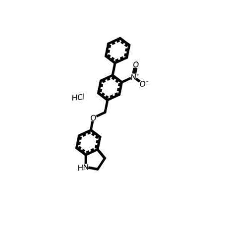 Cl.O=[N+]([O-])c1cc(COc2ccc3c(c2)CCN3)ccc1-c1ccccc1